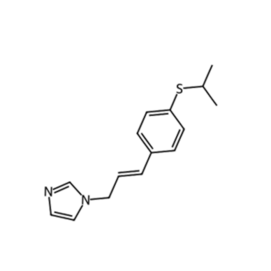 CC(C)Sc1ccc(C=CCn2ccnc2)cc1